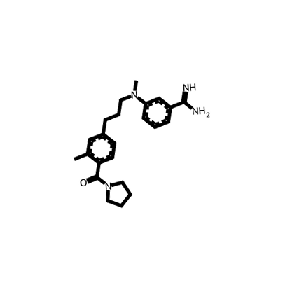 Cc1cc(CCCN(C)c2cccc(C(=N)N)c2)ccc1C(=O)N1CCCC1